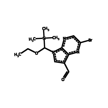 CCOC(n1cc(C=O)c2nc(Br)cnc21)[Si](C)(C)C